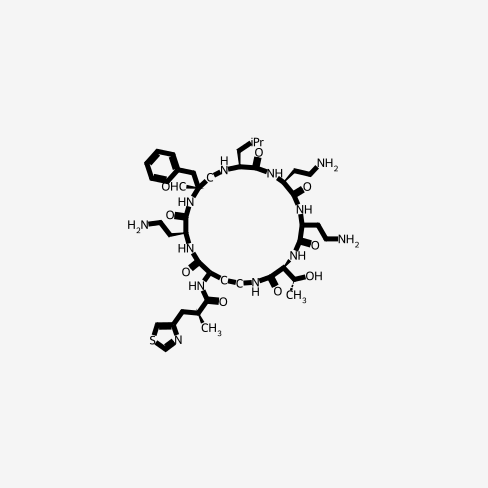 CC(C)C[C@@H]1NC[C@@](C=O)(Cc2ccccc2)NC(=O)[C@H](CCN)NC(=O)C(NC(=O)[C@@H](C)Cc2cscn2)CCNC(=O)[C@H]([C@@H](C)O)NC(=O)C(CCN)NC(=O)[C@H](CCN)NC1=O